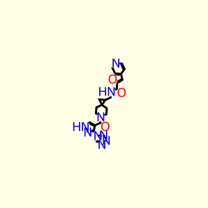 O=C(NCC1CC12CCN(C(=O)c1c[nH]nc1-n1cnnn1)CC2)c1cc2ccncc2o1